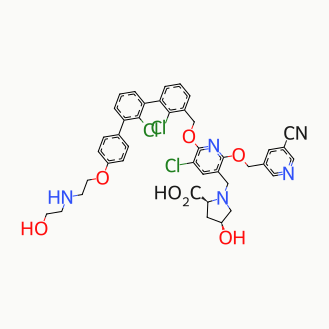 N#Cc1cncc(COc2nc(OCc3cccc(-c4cccc(-c5ccc(OCCNCCO)cc5)c4Cl)c3Cl)c(Cl)cc2CN2C[C@@H](O)C[C@H]2C(=O)O)c1